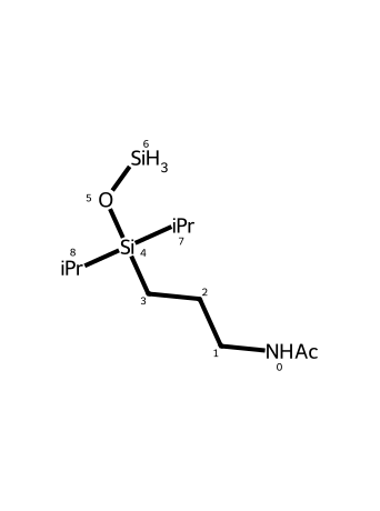 CC(=O)NCCC[Si](O[SiH3])(C(C)C)C(C)C